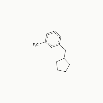 FC(F)(F)c1cccc(CC2CCCC2)c1